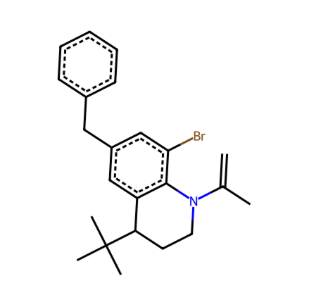 C=C(C)N1CCC(C(C)(C)C)c2cc(Cc3ccccc3)cc(Br)c21